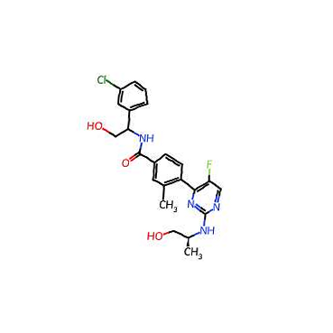 Cc1cc(C(=O)NC(CO)c2cccc(Cl)c2)ccc1-c1nc(N[C@@H](C)CO)ncc1F